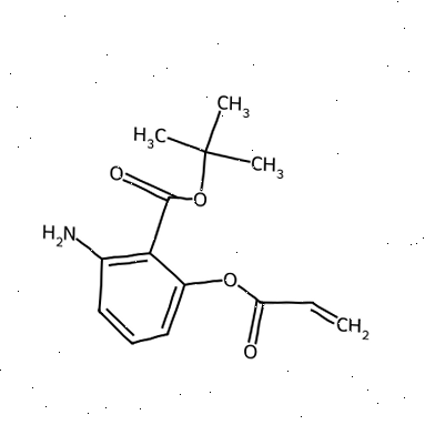 C=CC(=O)Oc1cccc(N)c1C(=O)OC(C)(C)C